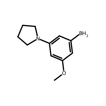 Bc1cc(OC)cc(N2CCCC2)c1